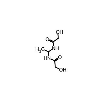 CC(NC(=O)CO)NC(=O)CO